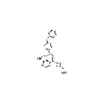 O=C(c1ccc(Oc2ccccc2)cc1)c1c[nH]c2ncnc(N[C@H]3C[C@H](CO)C3)c12